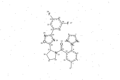 Cc1ccc(-n2nccn2)c(C(=O)N2CCCC2c2nc(-c3cc(F)cc(F)c3)no2)c1